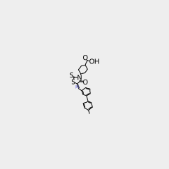 Cc1ccc(-c2cccc(/C=C3/SC(=S)N(C4CCC(C(=O)O)CC4)C3=O)c2)cc1